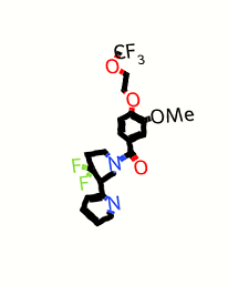 COc1cc(C(=O)N2CCC(F)(F)C(c3ccccn3)C2)ccc1OCCOC(F)(F)F